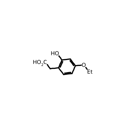 CCOc1ccc(CC(=O)O)c(O)c1